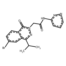 CC(C)c1nn(CC(=O)Nc2cccnn2)c(=O)c2ccc(Br)cc12